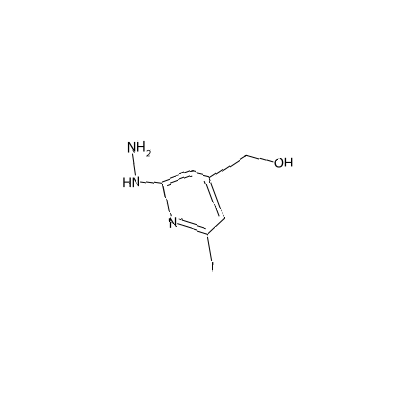 NNc1cc(CO)cc(I)n1